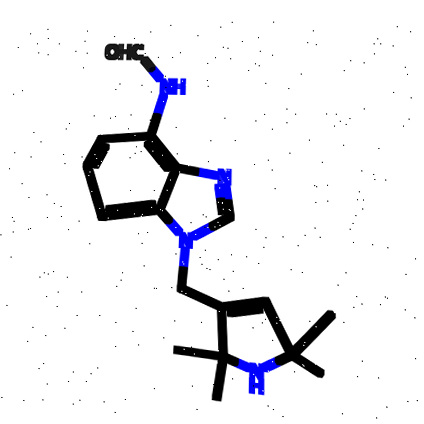 CC1(C)C=C(Cn2cnc3c(NC=O)cccc32)C(C)(C)N1